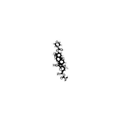 CC(C)C(OC(=O)N(C)C)C1C[C@@H](C)[C@H]2C(O1)[C@H](O)C1(C)C3CC[C@H]4C(C)(C)C(OC(=O)N5CCOCC5)CCC45CC35CCC21C